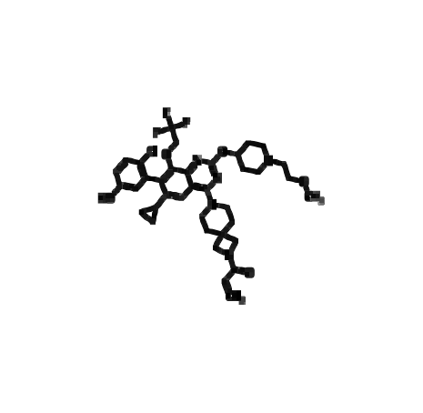 C=CC(=O)N1CC2(CCN(c3nc(OC4CCN(CCOC)CC4)nc4c(OCC(F)(F)F)c(-c5cc(O)ccc5Cl)c(C5CC5)cc34)CC2)C1